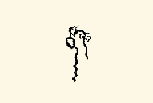 CCCCCCCCCc1cccc(N2C=C(CC(C)OC(=O)CCCC)N=CC2)c1